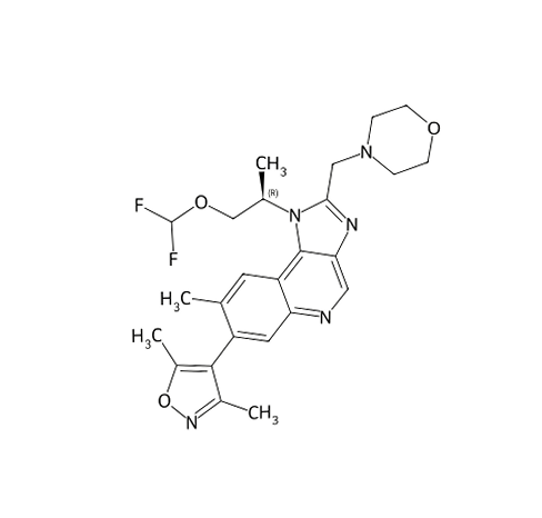 Cc1cc2c(cc1-c1c(C)noc1C)ncc1nc(CN3CCOCC3)n([C@H](C)COC(F)F)c12